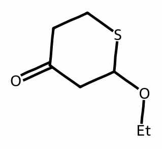 CCOC1CC(=O)CCS1